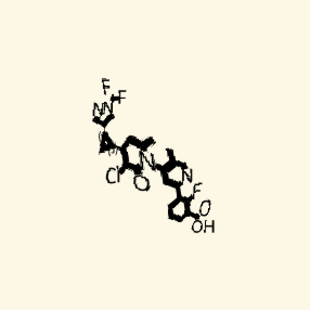 Cc1cnc(-c2cccc(C(=O)O)c2F)cc1-n1c(C)cc([C@H]2C[C@@H]2c2cnn(C(F)F)c2)c(Cl)c1=O